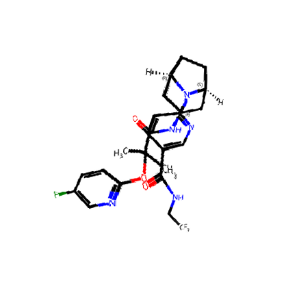 CC(C)(Oc1ccc(F)cn1)C(=O)N[C@H]1C[C@H]2CC[C@@H](C1)N2c1ccc(C(=O)NCC(F)(F)F)cn1